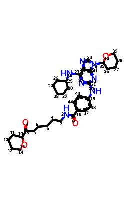 O=C(NCCCCCC(=O)C1CCCCO1)c1ccc(Nc2nc(NC3CCCCC3)c3ncn(C4CCCCO4)c3n2)cc1